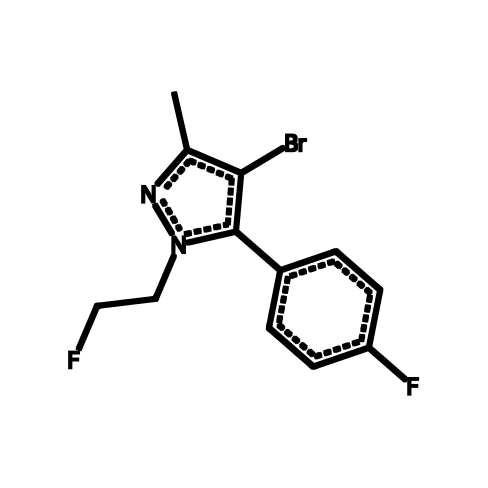 Cc1nn(CCF)c(-c2ccc(F)cc2)c1Br